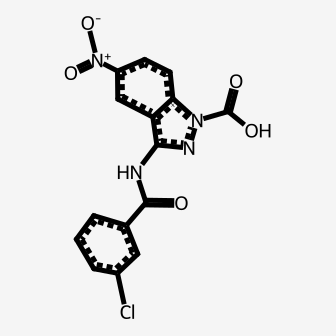 O=C(Nc1nn(C(=O)O)c2ccc([N+](=O)[O-])cc12)c1cccc(Cl)c1